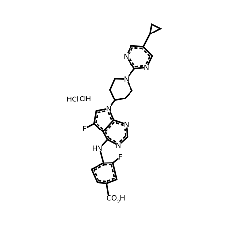 Cl.Cl.O=C(O)c1ccc(Nc2ncnc3c2c(F)cn3C2CCN(c3ncc(C4CC4)cn3)CC2)c(F)c1